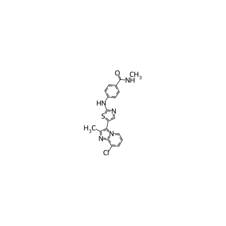 CNC(=O)c1ccc(Nc2ncc(-c3c(C)nc4c(Cl)cccn34)s2)cc1